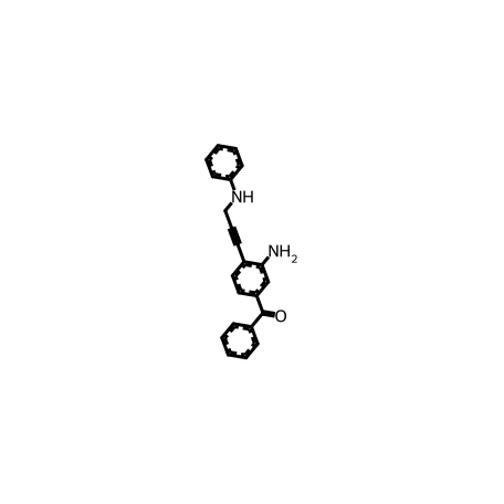 Nc1cc(C(=O)c2ccccc2)ccc1C#CCNc1ccccc1